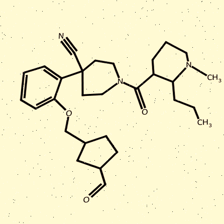 CCCC1C(C(=O)N2CCC(C#N)(c3ccccc3OCC3CCC(C=O)C3)CC2)CCCN1C